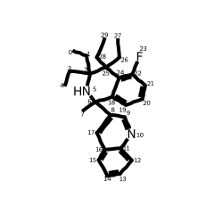 CCC1(CC)NC(C)(c2cnc3ccccc3c2)c2cccc(F)c2C1(CC)CC